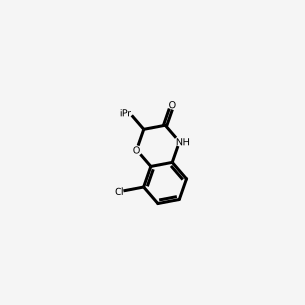 CC(C)C1Oc2c(Cl)cccc2NC1=O